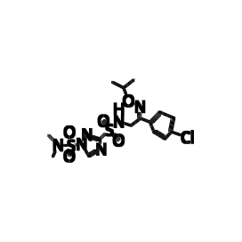 CC(C)O/N=C(\CNS(=O)(=O)c1ncn(S(=O)(=O)N(C)C)n1)c1ccc(Cl)cc1